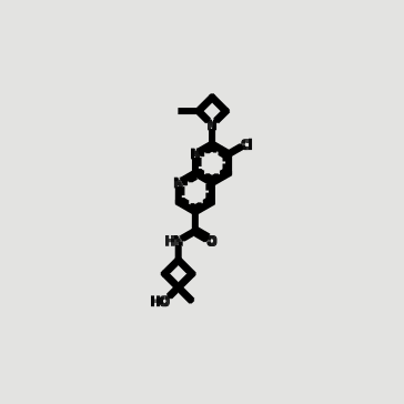 CC1CCN1c1nc2ncc(C(=O)NC3CC(C)(O)C3)cc2cc1Cl